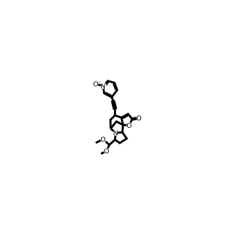 COC(OC)C1CCC2N1C1CC(C#Cc3ccc[n+]([O-])c3)C3=CC(=O)OC32C1